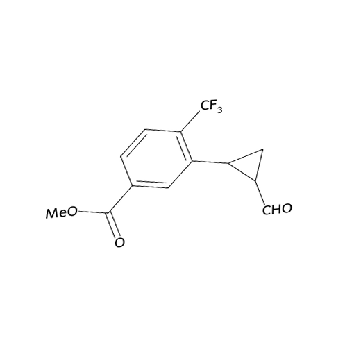 COC(=O)c1ccc(C(F)(F)F)c(C2CC2C=O)c1